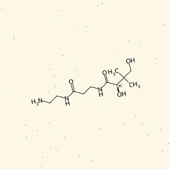 CC(C)(CO)[C@@H](O)C(=O)NCCC(=O)NCCN